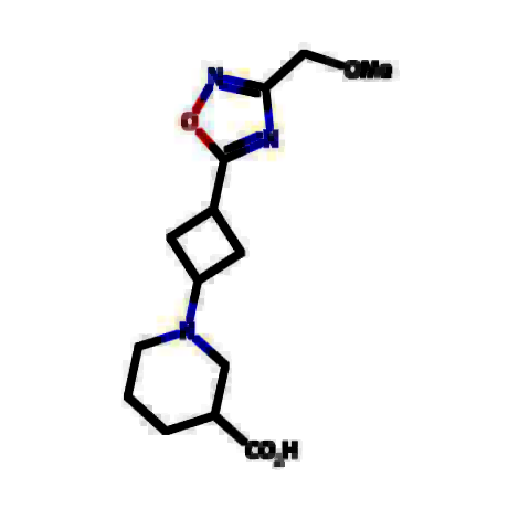 COCc1noc(C2CC(N3CCCC(C(=O)O)C3)C2)n1